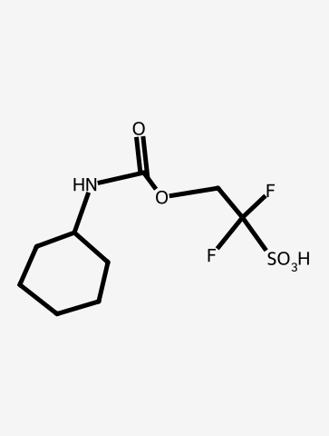 O=C(NC1CCCCC1)OCC(F)(F)S(=O)(=O)O